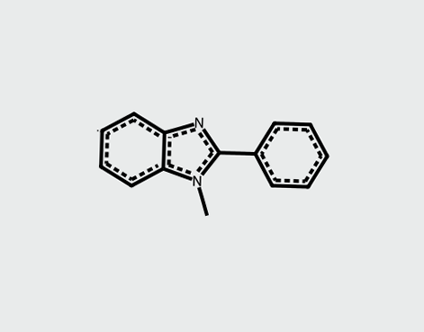 Cn1c(-c2ccccc2)nc2c[c]ccc21